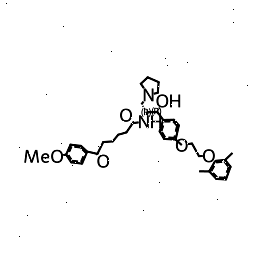 COc1ccc(C(=O)CCCCC(=O)N[C@H](CN2CCCC2)[C@H](O)c2ccc(OCCOc3c(C)cccc3C)cc2)cc1